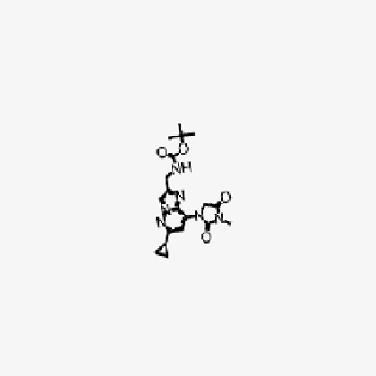 CN1C(=O)CN(c2cc(C3CC3)nn3cc(CNC(=O)OC(C)(C)C)nc23)C1=O